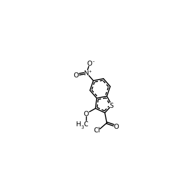 COc1c(C(=O)Cl)sc2ccc([N+](=O)[O-])cc12